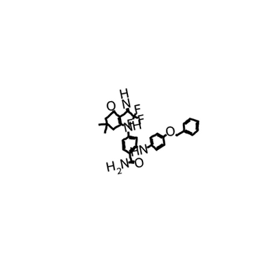 CC1(C)CC(=O)C(C(=N)C(F)(F)F)=C(Nc2ccc(C(N)=O)c(Nc3ccc(OCc4ccccc4)cc3)c2)C1